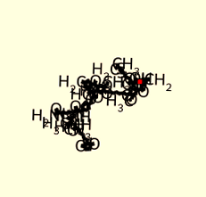 C=C1C[C@H]2C(O)N(C(=O)OCCSSC(C)C)c3cc(OCCCCCOc4cc5c(cc4OC)C(=O)N4CC(=C)C[C@H]4C(O)N5C(=O)OCc4ccc(NC(=O)[C@H](CCCNC(N)=O)NC(=O)[C@@H](NC(=O)CCCCCN5C(=O)C=CC5=O)C(C)C)cc4)c(OC)cc3C(=O)N2C1